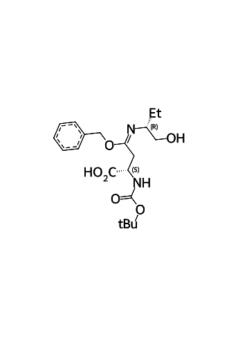 CC[C@H](CO)N=C(C[C@H](NC(=O)OC(C)(C)C)C(=O)O)OCc1ccccc1